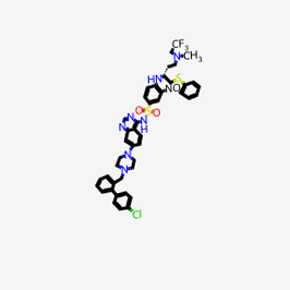 CN(CC[C@H](CSc1ccccc1)Nc1ccc(S(=O)(=O)Nc2ncnc3cc(N4CCN(Cc5ccccc5-c5ccc(Cl)cc5)CC4)ccc23)cc1[N+](=O)[O-])CC(F)(F)F